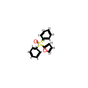 O=[S+](c1ccccc1)(c1ccccc1)c1ccco1